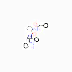 O=C(C=Cc1ccccc1)N[C@@H]1CCCC[C@@H]1C(=O)N1CC[C@@H]2[C@H](c3ccccc3)Nc3ccccc3[C@@H]21